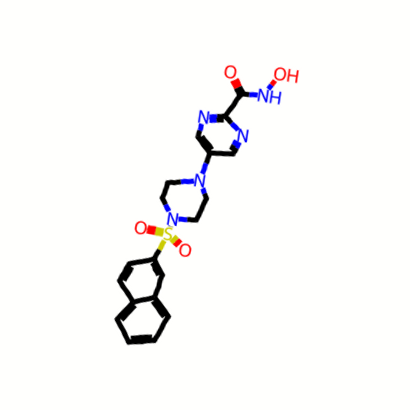 O=C(NO)c1ncc(N2CCN(S(=O)(=O)c3ccc4ccccc4c3)CC2)cn1